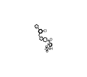 CS(=O)(=O)Nc1ccn(C(=O)N2CCC3(CCN(Cc4cc(Cl)cc(N5CCCC5)c4)C3)CC2)n1